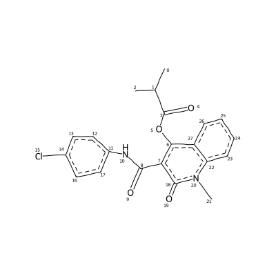 CC(C)C(=O)Oc1c(C(=O)Nc2ccc(Cl)cc2)c(=O)n(C)c2ccccc12